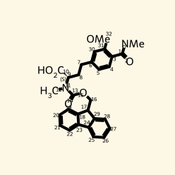 CNC(=O)c1ccc(CC[C@@H](C(=O)O)N(C)C(=O)OCC2c3ccccc3-c3ccccc32)cc1OC